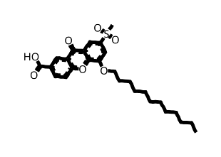 CCCCCCCCCCCCOc1cc(S(C)(=O)=O)cc2c(=O)c3cc(C(=O)O)ccc3oc12